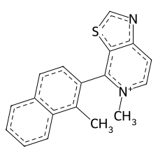 Cc1c(-c2c3scnc3cc[n+]2C)ccc2ccccc12